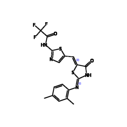 Cc1ccc(/N=C2/NC(=O)/C(=C/c3cnc(NC(=O)C(F)(F)F)s3)S2)c(C)c1